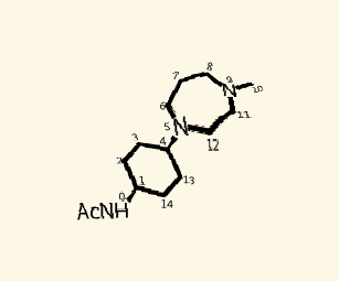 CC(=O)N[C@H]1CC[C@@H](N2CCCN(C)CC2)CC1